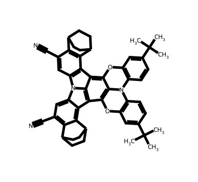 CC(C)(C)c1ccc2c(c1)Oc1c3c(c4c5c6c(c(C#N)cc5n5c7cc(C#N)c8c(c7c1c45)C1CCC8CC1)C1CCC6CC1)Oc1cc(C(C)(C)C)ccc1N23